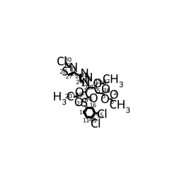 CC(=O)OCC1O[C@H](Sc2ccc(Cl)c(Cl)c2)[C@@H](OC(C)=O)C(n2cc(-c3csc(Cl)n3)nn2)[C@H]1OC(C)=O